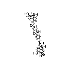 O=C(NC1CCN(C(=O)COc2cccc(C(O)(C(=O)O)c3ccccc3)c2)CC1)c1ccc(CCNCC(O)c2ccc(O)c3[nH]c(=O)ccc23)cc1